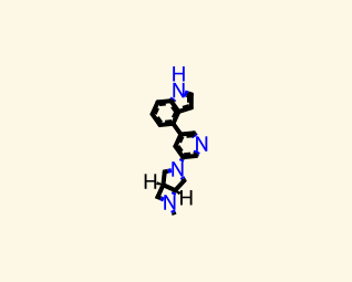 CN1C[C@@H]2CN(c3cncc(-c4cccc5[nH]ccc45)c3)C[C@@H]21